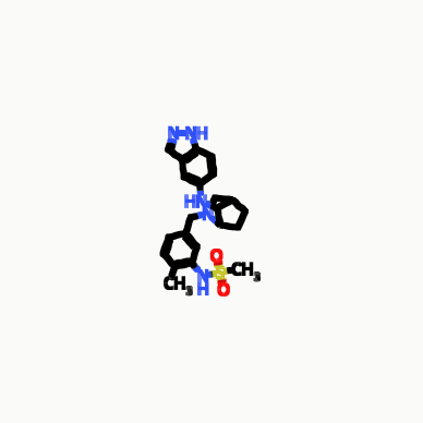 Cc1ccc(CN2CC3CCC2C3Nc2ccc3[nH]ncc3c2)cc1NS(C)(=O)=O